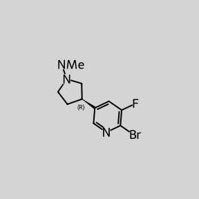 CNN1CC[C@H](c2cnc(Br)c(F)c2)C1